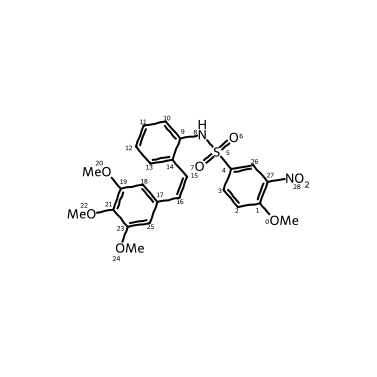 COc1ccc(S(=O)(=O)Nc2ccccc2/C=C\c2cc(OC)c(OC)c(OC)c2)cc1[N+](=O)[O-]